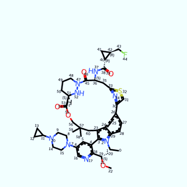 CCn1c(-c2cc(N3CCN(C4CC4)CC3)cnc2[C@H](C)OC)c2c3cc(ccc31)-c1csc(n1)C[C@H](NC(=O)[C@@H]1C[C@H]1CF)C(=O)N1CCC[C@H](N1)C(=O)OCC(C)(C)C2